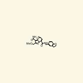 COCc1nn2c(C(=O)NCc3ccc4c(c3)CCO4)ccnc2c1C(N)=O